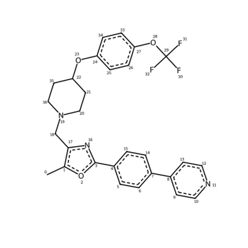 Cc1oc(-c2ccc(-c3ccncc3)cc2)nc1CN1CCC(Oc2ccc(OC(F)(F)F)cc2)CC1